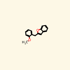 COc1ccccc1Cc1cc2ccccc2o1